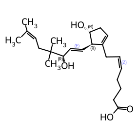 CC(C)=CCC(C)(C)[C@H](O)/C=C/[C@@H]1C(C/C=C\CCCC(=O)O)=CC[C@H]1O